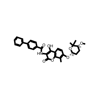 CO[C@@H]1CC[C@H](Oc2ccc3c(O)c(NC(=O)c4ccc(-c5ccccc5)cc4)c(=O)oc3c2C)OC1(C)C